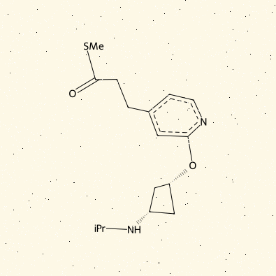 CSC(=O)CCc1ccnc(O[C@H]2C[C@@H](NC(C)C)C2)c1